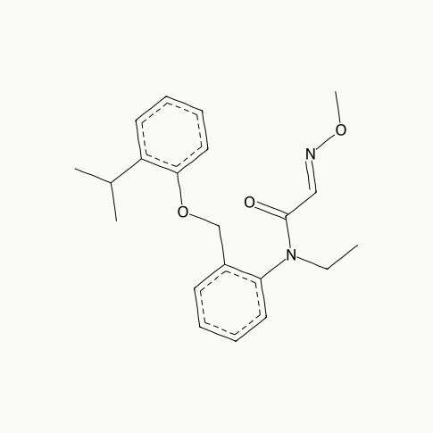 CCN(C(=O)C=NOC)c1ccccc1COc1ccccc1C(C)C